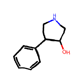 OC1CNCC1c1ccccc1